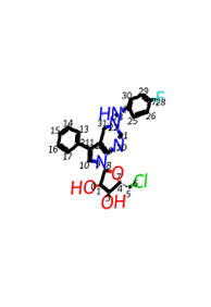 O[C@@H]1[C@H](O)[C@@H](CCl)O[C@H]1n1cc(-c2ccccc2)c2c1N=CN(Nc1ccc(F)cc1)C2